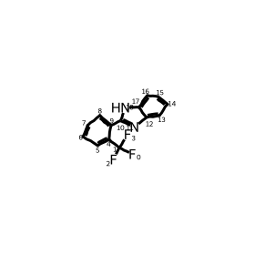 FC(F)(F)c1ccccc1-c1nc2ccccc2[nH]1